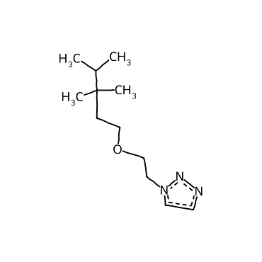 CC(C)C(C)(C)CCOCCn1ccnn1